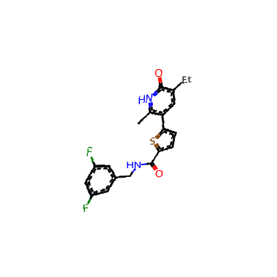 CCc1cc(-c2ccc(C(=O)NCc3cc(F)cc(F)c3)s2)c(C)[nH]c1=O